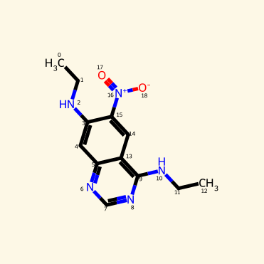 CCNc1cc2ncnc(NCC)c2cc1[N+](=O)[O-]